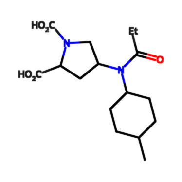 CCC(=O)N(C1CCC(C)CC1)C1CC(C(=O)O)N(C(=O)O)C1